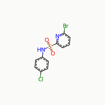 O=S(=O)(Nc1ccc(Cl)cc1)c1cccc(Br)n1